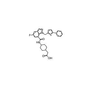 O=C(O)CC1CCC(NC(=O)c2cc(F)cc3cnn(Cc4ccc(-c5ccccc5)s4)c23)CC1